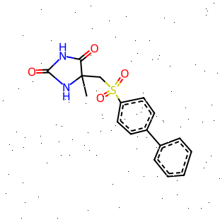 CC1(CS(=O)(=O)c2ccc(-c3ccccc3)cc2)NC(=O)NC1=O